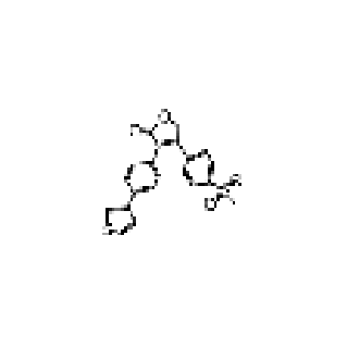 CS(=O)(=O)c1ccc(C2=C(c3ccc(-c4ccsc4)cc3)C(=O)OC2)cc1